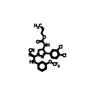 C=CCOC(=O)NC1CN(/C(=N\C#N)Nc2cccc(OC(F)(F)F)c2)N=C1c1ccc(Cl)c(Cl)c1